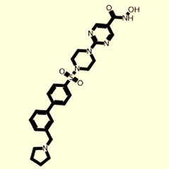 O=C(NO)c1cnc(N2CCN(S(=O)(=O)c3ccc(-c4cccc(CN5CCCC5)c4)cc3)CC2)nc1